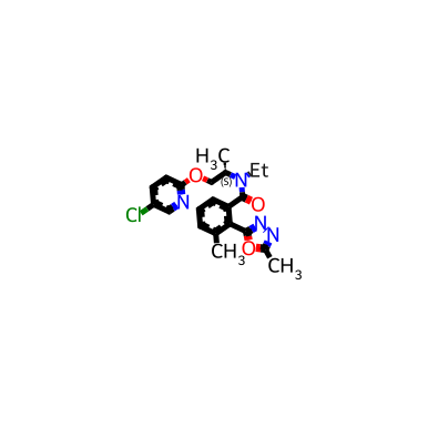 CCN(C(=O)c1cccc(C)c1-c1nnc(C)o1)[C@@H](C)COc1ccc(Cl)cn1